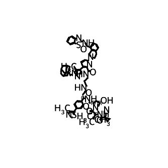 Cc1ncsc1-c1ccc([C@H](CC(=O)NCCCNC(=O)c2nc(N3CCc4cccc(C(=O)Nc5nc6ccccc6s5)c4C3)ccc2-c2cnn(CC34CC5CC(CC(C5)C3)C4)c2C)NC(=O)[C@@H]2C[C@@H](O)CN2C(=O)[C@@H](NC(=O)C2(C#N)CC2)C(C)(C)C)cc1